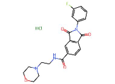 Cl.O=C(NCCN1CCOCC1)c1ccc2c(c1)C(=O)N(c1cccc(F)c1)C2=O